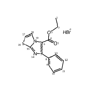 Br.CCOC(=O)c1c(-c2ccccc2)nc2sccn12